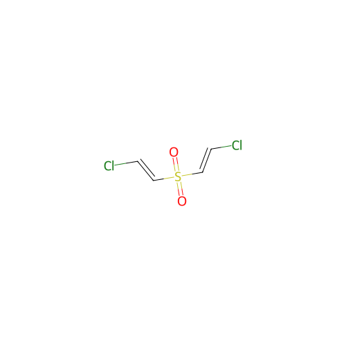 O=S(=O)(C=CCl)C=CCl